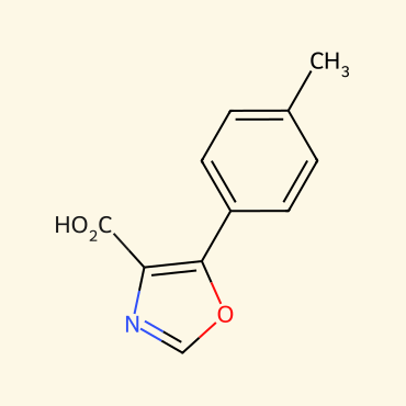 Cc1ccc(-c2ocnc2C(=O)O)cc1